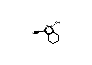 N#Cc1nn(O)c2c1CCCC2